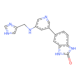 O=c1[nH]c2ccc(-c3cncc(NCc4c[nH]cn4)c3)cc2[nH]1